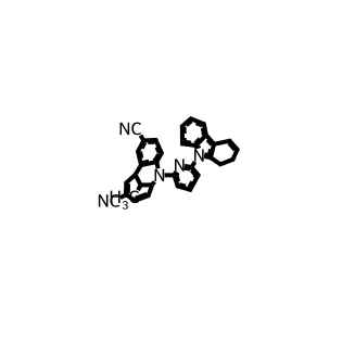 CC1C2C=C(C#N)C=CC1N(c1cccc(-n3c4c(c5ccccc53)C=CCC4)n1)c1ccc(C#N)cc12